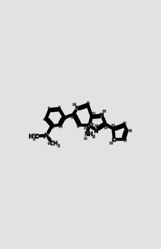 CN(C)c1cccc(C2=C[N+]3(N)N=C(c4ccco4)N=C3C=N2)c1